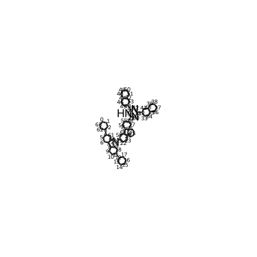 c1ccc(-c2ccc3c4ccc(-c5ccccc5)cc4n(-c4ccc5oc6cc(C7=NC(c8ccc9ccccc9c8)=NC(c8ccc9ccccc9c8)N7)ccc6c5c4)c3c2)cc1